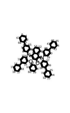 c1ccc(-c2ccc(N(c3ccc(-c4ccccc4)cc3)c3c4c(c(N(c5ccc(-c6ccccc6)cc5)c5ccc(-c6ccccc6)cc5)c5ccccc35)Oc3ccccc3O4)cc2)cc1